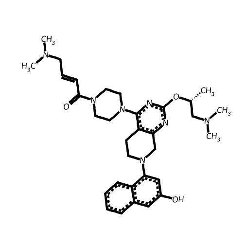 C[C@H](CN(C)C)Oc1nc2c(c(N3CCN(C(=O)/C=C/CN(C)C)CC3)n1)CCN(c1cc(O)cc3ccccc13)C2